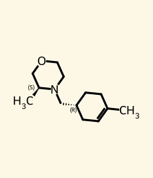 CC1=CC[C@H](CN2CCOC[C@@H]2C)CC1